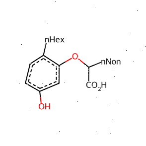 CCCCCCCCCC(Oc1cc(O)ccc1CCCCCC)C(=O)O